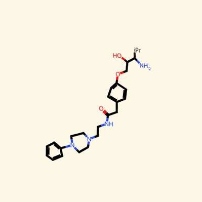 CC(C)C(N)C(O)COc1ccc(CC(=O)NCCN2CCN(c3ccccc3)CC2)cc1